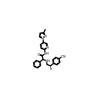 Cc1ccn(-c2ccc(NC(=O)C(NC[C@H](C)c3ccc(C#N)cc3)c3ccccc3)nc2)n1